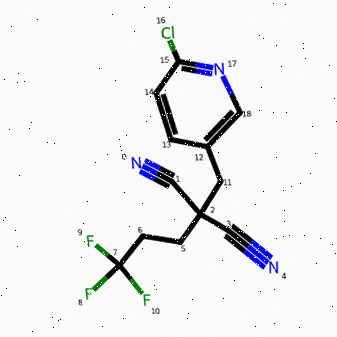 N#CC(C#N)(CCC(F)(F)F)Cc1ccc(Cl)nc1